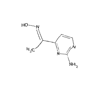 C/C(=N\O)c1ccnc(N)n1